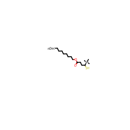 CCCCCCCCCCCCCCCCCCOC(=O)CC[CH](S)[Sn]([CH3])([CH3])[CH3]